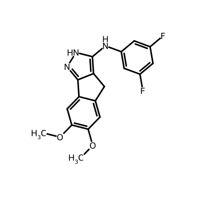 COc1cc2c(cc1OC)-c1n[nH]c(Nc3cc(F)cc(F)c3)c1C2